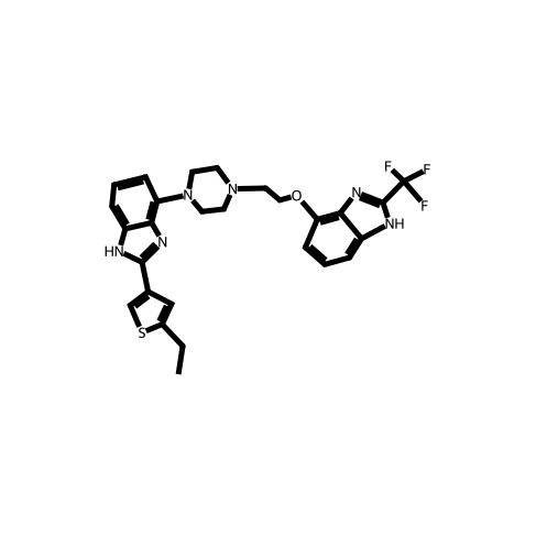 CCc1cc(-c2nc3c(N4CCN(CCOc5cccc6[nH]c(C(F)(F)F)nc56)CC4)cccc3[nH]2)cs1